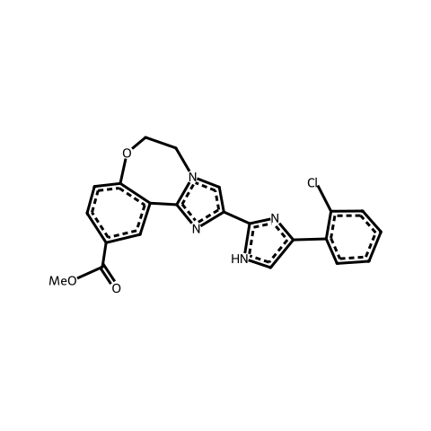 COC(=O)c1ccc2c(c1)-c1nc(-c3nc(-c4ccccc4Cl)c[nH]3)cn1CCO2